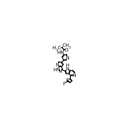 CC(C)C(=O)Nc1cncc(-c2cnc3[nH]nc(-c4cc5c(-c6ccc(F)s6)nccc5[nH]4)c3c2)c1